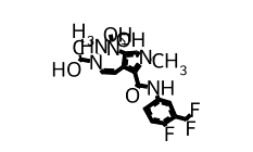 C[C@H](O)N1C=Cc2c(cn(C)c2C(=O)Nc2ccc(F)c(C(F)F)c2)[N+](O)(O)N1